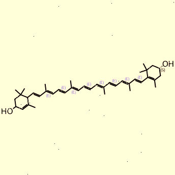 CC1=CC(O)CC(C)(C)C1C=C/C(C)=C/C=C/C(C)=C/C=C/C=C(C)/C=C/C=C(C)/C=C/C1=C(C)C[C@@H](O)CC1(C)C